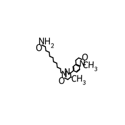 CC1CC(=O)N(CCCCCCCCCCC(N)=O)N=C1c1ccc2c(c1)CCC(=O)N2C